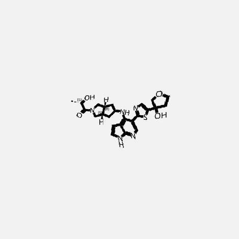 C[C@H](O)C(=O)N1C[C@H]2CC(Nc3c(-c4ncc(C5(O)CCOC5)s4)cnc4[nH]ccc34)C[C@H]2C1